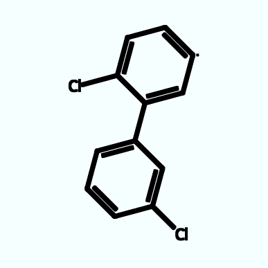 Clc1cccc(-c2c[c]ccc2Cl)c1